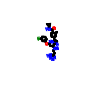 Cc1cc(-c2cnc3c(NCCc4nnn[nH]4)cc(Oc4cccc(F)c4)nn23)ccc1C(=O)NC1CC1